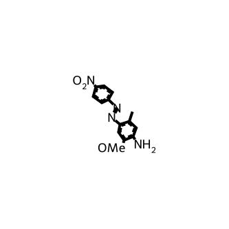 COc1cc(N=Nc2ccc([N+](=O)[O-])cc2)c(C)cc1N